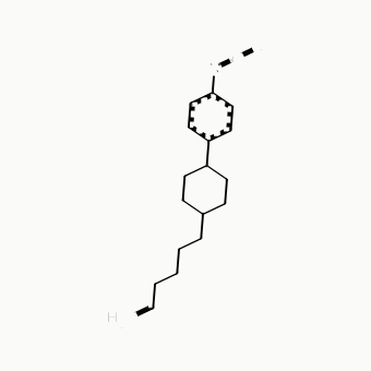 C=CCCCCC1CCC(c2ccc(N=C=S)cc2)CC1